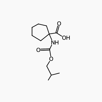 CC(C)COC(=O)NC1(C(=O)O)CCCCC1